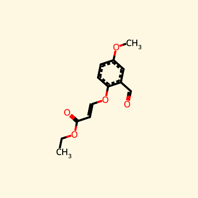 CCOC(=O)C=COc1ccc(OC)cc1C=O